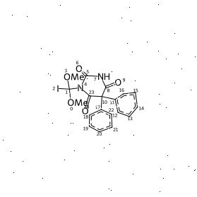 COC(I)(OC)N1C(=O)NC(=O)C(c2ccccc2)(c2ccccc2)C1=O